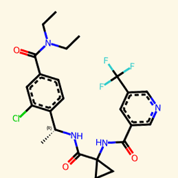 CCN(CC)C(=O)c1ccc([C@@H](C)NC(=O)C2(NC(=O)c3cncc(C(F)(F)F)c3)CC2)c(Cl)c1